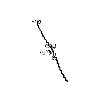 CCCCCCCCCCCCCCCC(=O)OCCN(CCOC(=O)CCCCCCCCCCCCCCC(=O)O)C(=O)CN.Cl.Cl